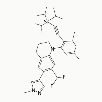 CC1=CC(N2CCCc3cc(-c4cnn(C)c4)c(C(F)F)cc32)=C(C#C[Si](C(C)C)(C(C)C)C(C)C)C(C)C1